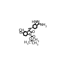 COc1ccc2c(c1)[C@]1(C[C@H]1c1ccc3c(N)n[nH]c3c1)C(=O)N2C(=O)OC(C)(C)C